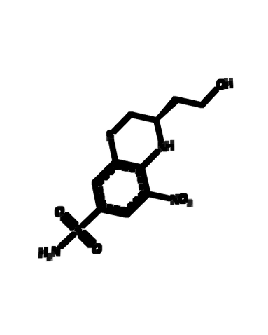 NS(=O)(=O)c1cc2c(c([N+](=O)[O-])c1)N[C@H](CCO)CS2